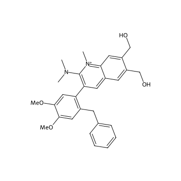 COc1cc(Cc2ccccc2)c(-c2cc3cc(CO)c(CO)cc3[n+](C)c2N(C)C)cc1OC